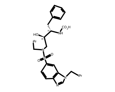 CC(C)CN(C[C@@H](O)[C@H](Cc1ccccc1)NC(=O)O)S(=O)(=O)c1ccc2ncn(CC(C)C)c2c1